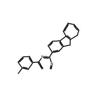 C=N/C(=N\C(=C)c1cccc(C)c1)c1ccc2c(c1)CC1=C2C=CC=CC1